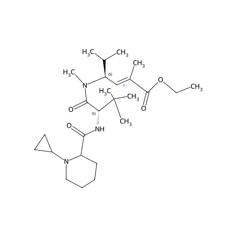 CCOC(=O)/C(C)=C/[C@H](C(C)C)N(C)C(=O)[C@@H](NC(=O)C1CCCCN1C1CC1)C(C)(C)C